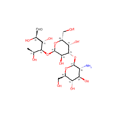 C[C@H](O)[C@H](O[C@H]1O[C@H](CO)[C@H](O)[C@H](O[C@@H]2O[C@H](CO)[C@@H](O)[C@H](O)[C@H]2N)[C@H]1O)[C@@H](O)[C@@H](O)C=O